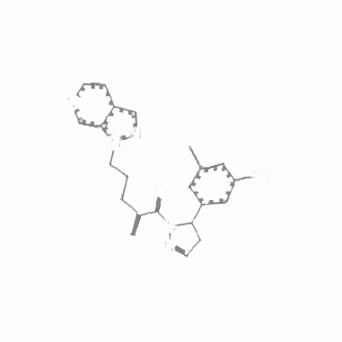 C=C(CCCn1ncc2ccncc21)C(=O)N1N=CCC1c1cc(C)cc(P)c1